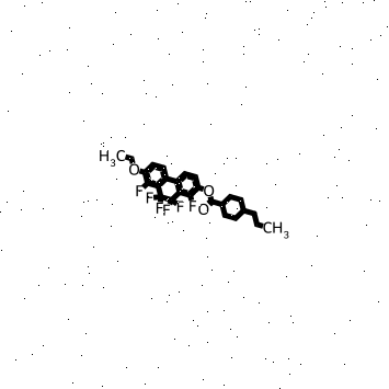 CCCC1CCC(C(=O)Oc2ccc3c(c2F)C(F)(F)C(F)(F)c2c-3ccc(OCC)c2F)CC1